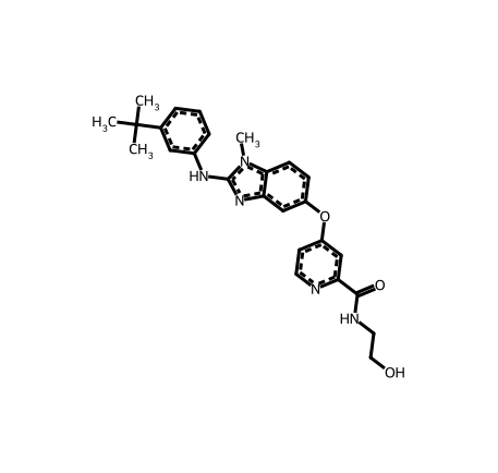 Cn1c(Nc2cccc(C(C)(C)C)c2)nc2cc(Oc3ccnc(C(=O)NCCO)c3)ccc21